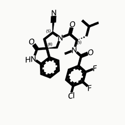 CC(C)C[C@@H](C(=O)N1C[C@]2(C[C@H]1C#N)C(=O)Nc1ccccc12)N(C)C(=O)c1ccc(Cl)c(F)c1F